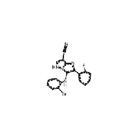 N#Cc1c[nH]n2c(Nc3ccccc3Br)c(-c3ccccc3F)nc12